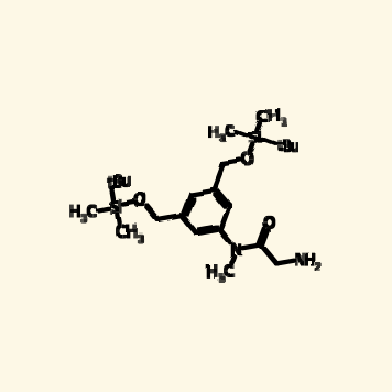 CN(C(=O)CN)c1cc(CO[Si](C)(C)C(C)(C)C)cc(CO[Si](C)(C)C(C)(C)C)c1